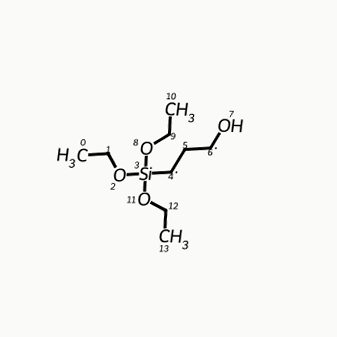 CCO[Si]([CH]C[CH]O)(OCC)OCC